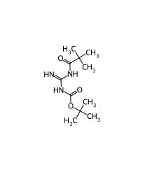 CC(C)(C)OC(=O)NC(=N)NC(=O)C(C)(C)C